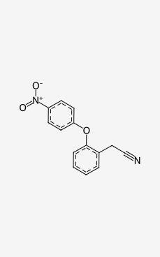 N#CCc1ccccc1Oc1ccc([N+](=O)[O-])cc1